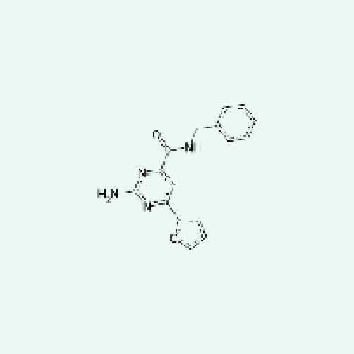 Nc1nc(C(=O)NCc2ccccc2)cc(-c2ccco2)n1